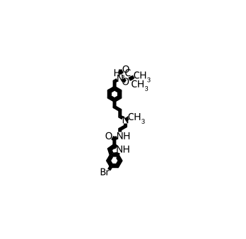 CN(CCCc1ccc(CN(C=O)OC(C)(C)C)cc1)CCNC(=O)c1cc2cc(Br)ccc2[nH]1